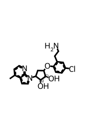 Cc1ccnc2c1ccn2C1CC(Oc2ccc(Cl)cc2CCN)[C@@H](O)[C@H]1O